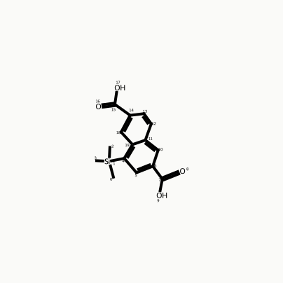 C[Si](C)(C)c1cc(C(=O)O)cc2ccc(C(=O)O)cc12